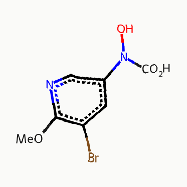 COc1ncc(N(O)C(=O)O)cc1Br